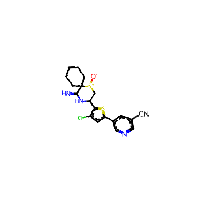 N#Cc1cncc(-c2cc(Cl)c(C3C[S+]([O-])C4(CCCCC4)C(=N)N3)s2)c1